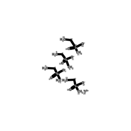 CCP(C)(=O)[O-].CCP(C)(=O)[O-].CCP(C)(=O)[O-].CCP(C)(=O)[O-].[Ti+4]